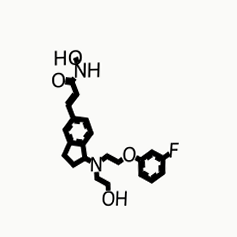 O=C(C=Cc1ccc2c(c1)CCC2N(CCO)CCOc1cccc(F)c1)NO